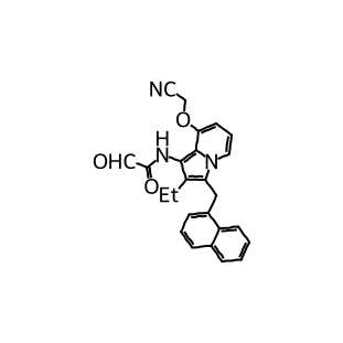 CCc1c(NC(=O)C=O)c2c(OCC#N)cccn2c1Cc1cccc2ccccc12